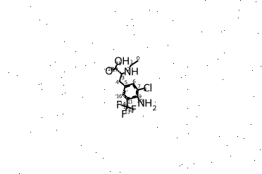 CCNC(Cc1cc(Cl)c(N)c(C(F)(F)F)c1)C(=O)O